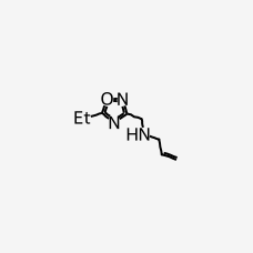 C=CCNCc1noc(CC)n1